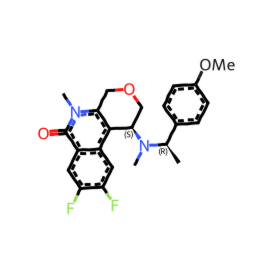 COc1ccc([C@@H](C)N(C)[C@@H]2COCc3c2c2cc(F)c(F)cc2c(=O)n3C)cc1